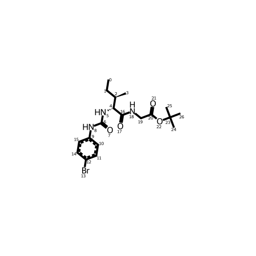 CC[C@@H](C)[C@@H](NC(=O)Nc1ccc(Br)cc1)C(=O)NCC(=O)OC(C)(C)C